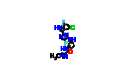 Cn1cnc(C(=O)N[C@@H]2CCC[C@H](Nc3nc(-c4c[nH]c5c(F)cc(Cl)cc45)ncc3F)C2)c1